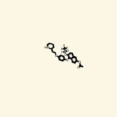 CC(=O)Oc1ccc2c(Oc3ccc(OCCC4CCCCN4)cc3)c(OS(=O)(=O)C(F)(F)F)ccc2c1